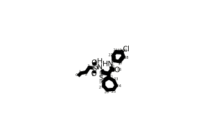 CCCCS(=O)(=O)Nc1sc2c(c1C(=O)Nc1ccc(Cl)cc1)CCCCC2